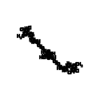 CN1Cc2c(Cl)cc(Cl)cc2[C@H](c2cccc(-c3cc(NCCOCCOCCNC(=O)[C@H](O)[C@@H](O)C(=O)NCCOCCOCCNc4cc(-c5cccc([C@@H]6CN(C)Cc7c(Cl)cc(Cl)cc76)c5)ncn4)ncn3)c2)C1.Cl